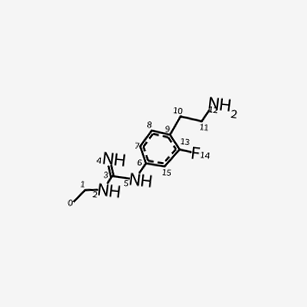 CCNC(=N)Nc1ccc(CCN)c(F)c1